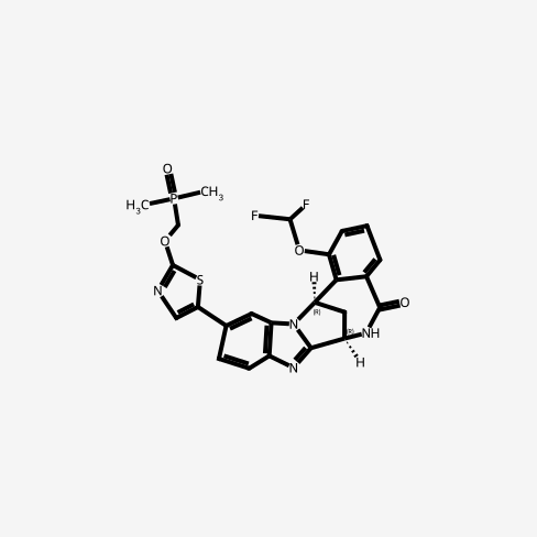 CP(C)(=O)COc1ncc(-c2ccc3nc4n(c3c2)[C@@H]2C[C@H]4NC(=O)c3cccc(OC(F)F)c32)s1